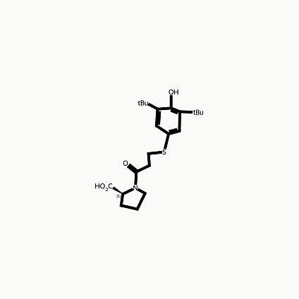 CC(C)(C)c1cc(SCCC(=O)N2CCC[C@H]2C(=O)O)cc(C(C)(C)C)c1O